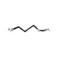 BCCCOB